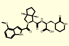 COc1cccc2[nH]c(C(=O)N3C[C@@H]4CCC[C@@H]4[C@H]3C(=O)N[C@@H](C[C@@H]3CCCNC3=O)C(=O)O)cc12